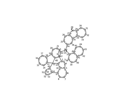 CCc1ccc2cccc3c2c1C1(c2ccccc2-c2ccc(N(c4ccc5sc6ccccc6c5c4)c4cccc5ccccc45)cc21)c1ccccc1-3